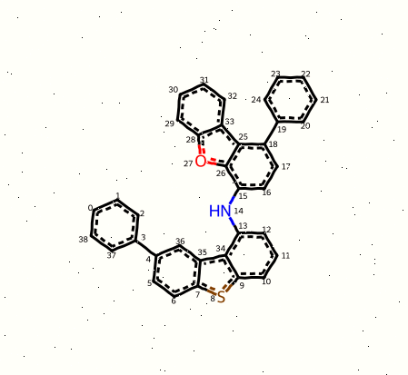 c1ccc(-c2ccc3sc4cccc(Nc5ccc(-c6ccccc6)c6c5oc5ccccc56)c4c3c2)cc1